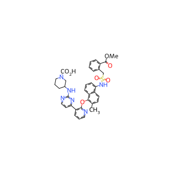 COC(=O)c1ccccc1CS(=O)(=O)Nc1cccc2c(Oc3ncccc3-c3ccnc(NC4CCCN(C(=O)O)C4)n3)c(C)ccc12